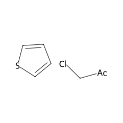 CC(=O)CCl.c1ccsc1